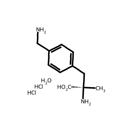 C[C@@](N)(Cc1ccc(CN)cc1)C(=O)O.Cl.Cl.O